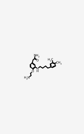 Cc1ccc(CCCCNc2cc(CC(N)=O)ccc2OCCN)cc1C